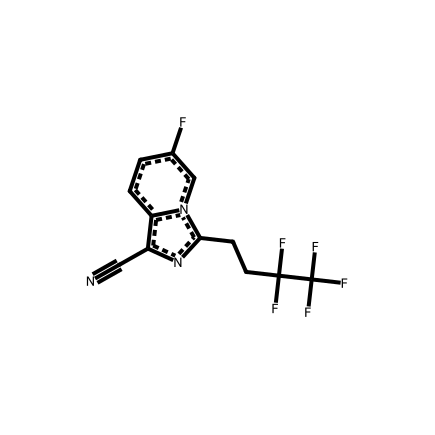 N#Cc1nc(CCC(F)(F)C(F)(F)F)n2cc(F)ccc12